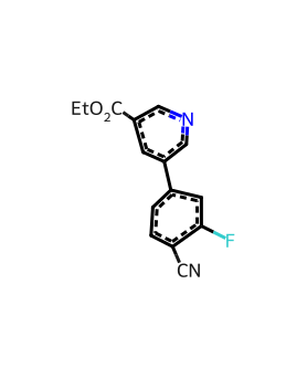 CCOC(=O)c1cncc(-c2ccc(C#N)c(F)c2)c1